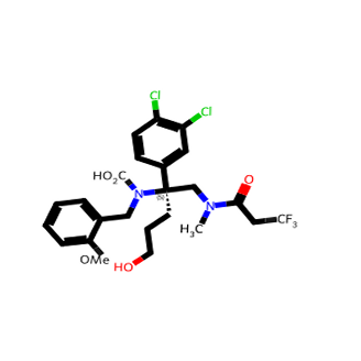 COc1ccccc1CN(C(=O)O)[C@](CCCO)(CN(C)C(=O)CC(F)(F)F)c1ccc(Cl)c(Cl)c1